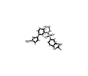 Cc1nc2ccc(S(=O)(=O)N3CCSc4ccc(-c5ccc(C#N)s5)cc43)cc2[nH]1